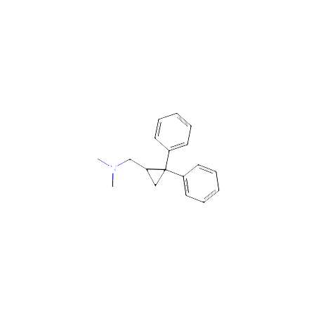 CN(C)CC1CC1(c1ccccc1)c1ccccc1